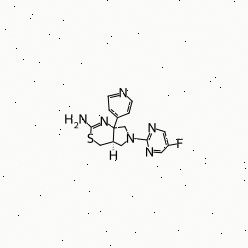 NC1=NC2(c3ccncc3)CN(c3ncc(F)cn3)C[C@H]2CS1